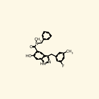 Cc1cc(F)cc(Cc2n[nH]c3cc(O)c(C(=O)N(C)Cc4ccccc4)cc23)c1